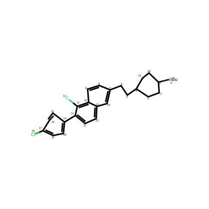 CCCCC1CCC(CCc2ccc3c(F)c(-c4ccc(Cl)cc4)ccc3c2)CC1